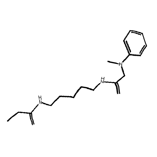 C=C(CC)NCCCCCNC(=C)CN(C)c1ccccc1